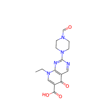 CCn1cc(C(=O)O)c(=O)c2cnc(N3CCN(C=O)CC3)nc21